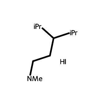 CNCCC(C(C)C)C(C)C.I